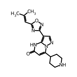 CC(C)=Cc1nc(-c2cnn3c(C4CCNCC4)cc(=O)[nH]c23)no1